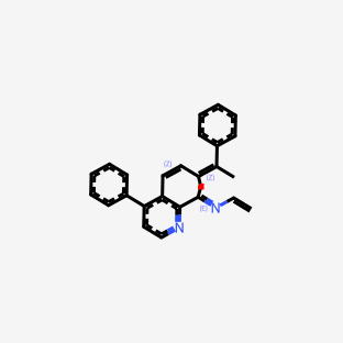 C=C/N=C(\C)c1nccc(-c2ccccc2)c1/C=C\C(C)=C(\C)c1ccccc1